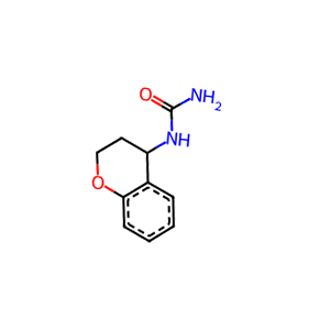 NC(=O)NC1CCOc2ccccc21